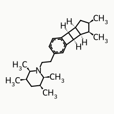 C[C@H]1[C@@H]2[C@H](C[C@H]1C)[C@@H]1c3ccc(CCN4[C@H](C)[C@H](C)C[C@H](C)[C@@H]4C)cc3[C@@H]12